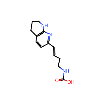 O=C(O)NCCC=Cc1ccc2c(n1)NCCC2